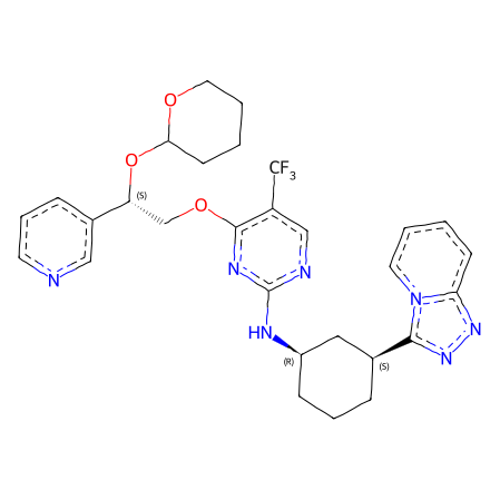 FC(F)(F)c1cnc(N[C@@H]2CCC[C@H](c3nnc4ccccn34)C2)nc1OC[C@@H](OC1CCCCO1)c1cccnc1